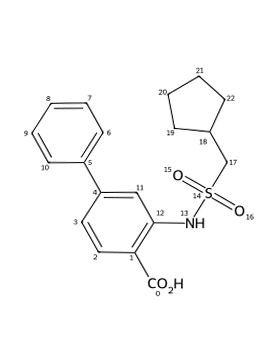 O=C(O)c1ccc(-c2ccccc2)cc1NS(=O)(=O)CC1CCCC1